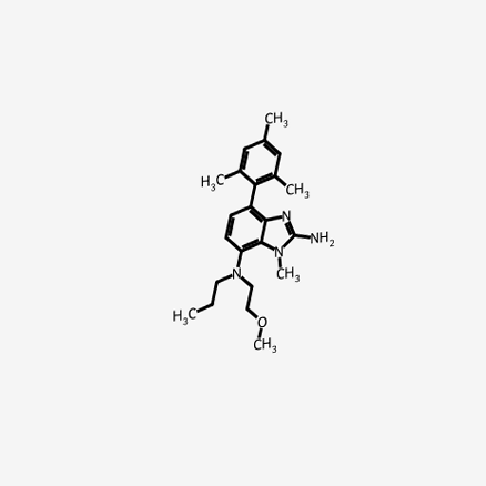 CCCN(CCOC)c1ccc(-c2c(C)cc(C)cc2C)c2nc(N)n(C)c12